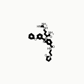 N=C(N)NCCCC(C(N)=O)n1c(-c2cccc(Oc3ccccc3)c2)nc2cc(C(=O)NCCCN3CCCC3=O)ccc21